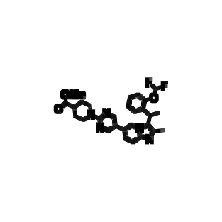 COC(=O)C1CCN(c2ncc(-c3ccc4nc(C)c(C(C)c5ccccc5OC(F)F)n4c3)cn2)CC1